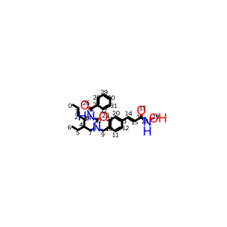 CCCCC(CC)CN(Cc1ccc(/C=C/C(=O)NO)cc1)C(=O)NC(=O)c1ccccc1